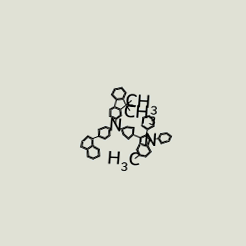 Cc1ccc2c(c1)c(-c1ccc(N(c3ccc(-c4cccc5ccccc45)cc3)c3ccc4c(c3)C(C)(C)c3ccccc3-4)cc1)c(-c1ccccc1)n2-c1ccccc1